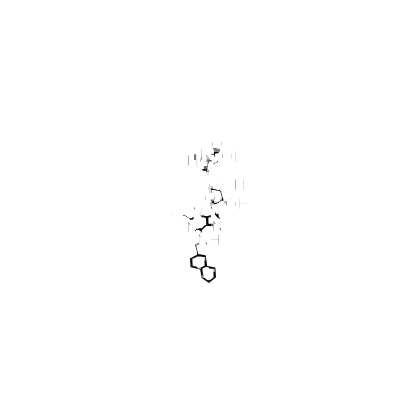 O=P(O)(O)CP(=O)(O)OC[C@H]1O[C@@H](n2cnc3c(NCc4ccc5ccccc5c4)nc(Cl)nc32)[C@@H](O)C1O